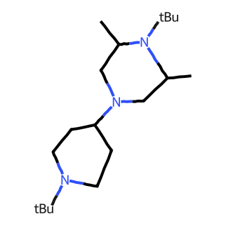 CC1CN(C2CCN(C(C)(C)C)CC2)CC(C)N1C(C)(C)C